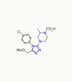 COCc1nnc(N2CCN(C(=O)O)C(C)C2)n1-c1ccc(Cl)cc1